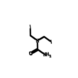 NC(=O)N(CI)CI